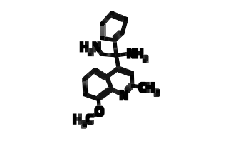 COc1cccc2c(C(N)(CN)c3ccccc3)cc(C)nc12